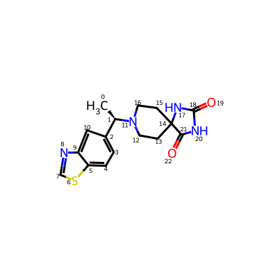 C[C@H](c1ccc2scnc2c1)N1CCC2(CC1)NC(=O)NC2=O